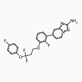 Nc1nc2cc(-c3cccc(OCCC(F)(F)Oc4ccc(F)cc4)c3F)ccn2n1